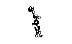 CC(=O)OCC(=O)N1CCN(c2ccc(N3C[C@H](COc4ccon4)OC3=O)cc2F)CC1